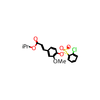 COc1cc(C=CC(=O)OC(C)C)ccc1OS(=O)(=O)c1ccccc1Cl